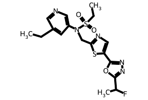 CCc1cncc(N(Cc2ncc(-c3nnc(C(C)F)o3)s2)S(=O)(=O)CC)c1